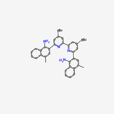 Cc1cc(-c2cc(C(C)(C)C)cc(-c3cc(C(C)(C)C)cc(-c4cc(C)c5ccccc5c4N)n3)n2)c(N)c2ccccc12